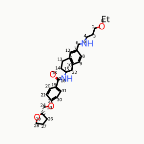 CCOCCCNCc1ccc2c(c1)CC[C@H](NC(=O)c1ccc(OC[C@@H]3CCCO3)cc1)C2